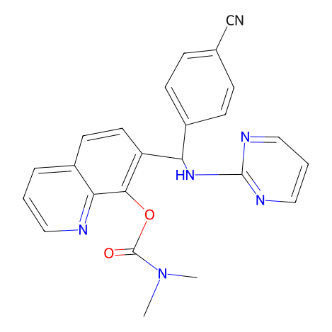 CN(C)C(=O)Oc1c(C(Nc2ncccn2)c2ccc(C#N)cc2)ccc2cccnc12